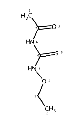 CCONC(=S)NC(C)=O